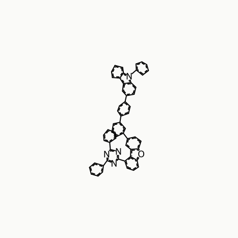 c1ccc(-c2nc(-c3ccccc3)nc(-c3cccc4oc5ccc(-c6cccc(-c7ccc(-c8ccc9c(c8)c8ccccc8n9-c8ccccc8)cc7)c6)cc5c34)n2)cc1